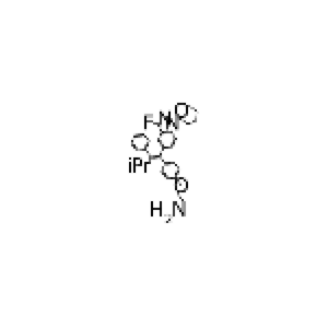 CC(C)C(=C(c1ccc(OCCN)cc1)c1ccc2c(c1)c(F)nn2C1CCCCO1)c1ccccc1